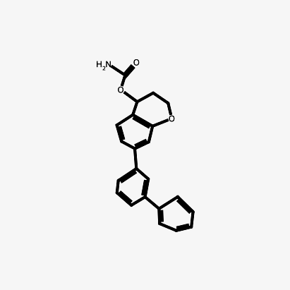 NC(=O)OC1CCOc2cc(-c3cccc(-c4ccccc4)c3)ccc21